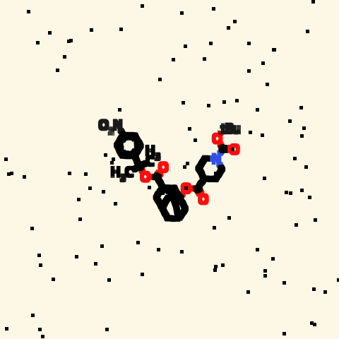 CC(C)(C)OC(=O)N1CCC(C(=O)OC23CC4CC(C2)CC(C(=O)OC(C)(C)c2ccc([N+](=O)[O-])cc2)(C4)C3)CC1